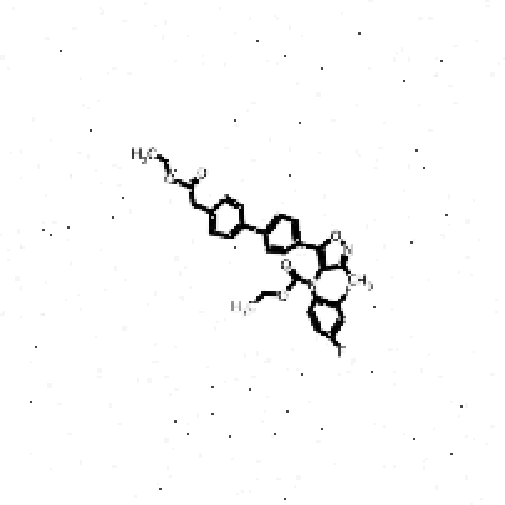 CCOC(=O)Cc1ccc(-c2ccc(-c3onc(C)c3N(C(=O)OCC)c3ccc(F)cc3F)cc2)cc1